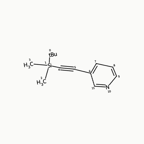 CC(C)(C)[Si](C)(C)C#Cc1cccnc1